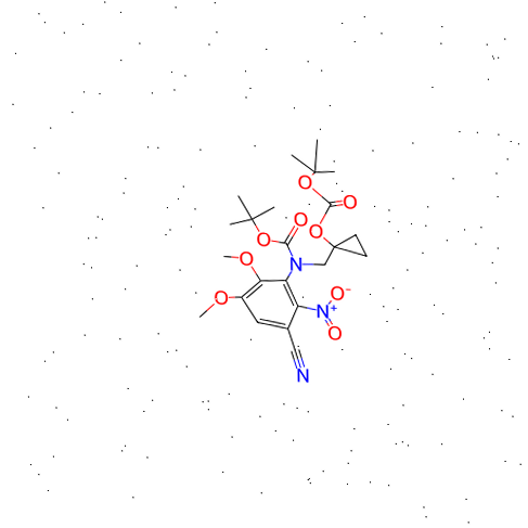 COc1cc(C#N)c([N+](=O)[O-])c(N(CC2(OC(=O)OC(C)(C)C)CC2)C(=O)OC(C)(C)C)c1OC